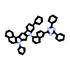 c1ccc(-c2ccc3c4cc5c6c7ccccc7ccc6n(-c6ccccc6)c5cc4n(-c4cccc5cc(-c6nc(-c7ccccc7)nc(-c7ccccc7)n6)ccc45)c3c2)cc1